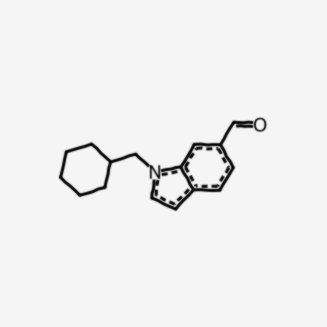 O=Cc1ccc2ccn(CC3CCCCC3)c2c1